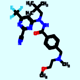 COCCN(C)Cc1ccc(C(=O)NN(CC(C)(C)C)c2cc(C(F)(F)F)nc(C#N)n2)cc1